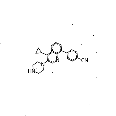 N#Cc1ccc(-c2cccc3c(C4CC4)c(N4CCNCC4)cnc23)cc1